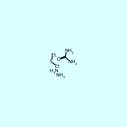 CCSCC.N.N.NC(N)=O